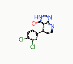 O=c1[nH]cnc2nccc(-c3ccc(Cl)c(Cl)c3)c12